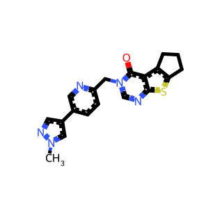 Cn1cc(-c2ccc(Cn3cnc4sc5c(c4c3=O)CCC5)nc2)cn1